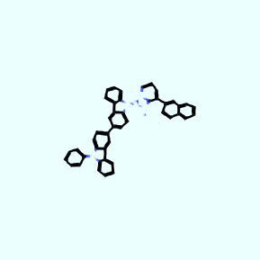 CN1C2C(c3ccc4ccccc4c3)=CC=CN2N1n1c2ccccc2c2cc(-c3ccc4c(c3)c3ccccc3n4-c3ccccc3)ccc21